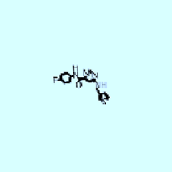 O=C(Nc1ccc(F)cc1)c1cc(NCc2ccsc2)ncn1